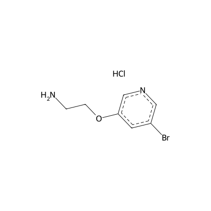 Cl.NCCOc1cncc(Br)c1